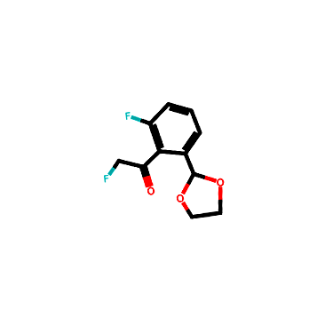 O=C(CF)c1c(F)cccc1C1OCCO1